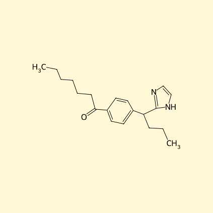 CCCCCCC(=O)c1ccc(C(CCC)c2ncc[nH]2)cc1